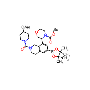 COC1CCN(C(=O)N2CCc3cc(B4OC(C)(C)C(C)(C)O4)cc(C4COCCN4C(=O)OC(C)(C)C)c3C2)CC1